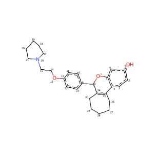 Oc1ccc2c(c1)OC(c1ccc(OCCN3CCCCC3)cc1)C1=C2CCCCC1